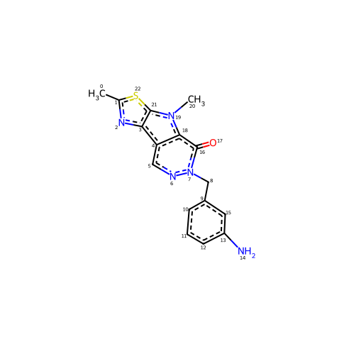 Cc1nc2c3cnn(Cc4cccc(N)c4)c(=O)c3n(C)c2s1